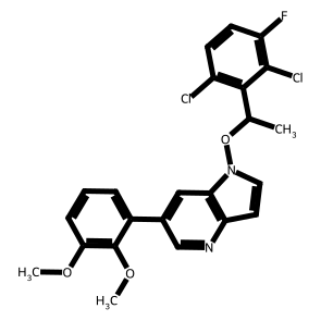 COc1cccc(-c2cnc3ccn(OC(C)c4c(Cl)ccc(F)c4Cl)c3c2)c1OC